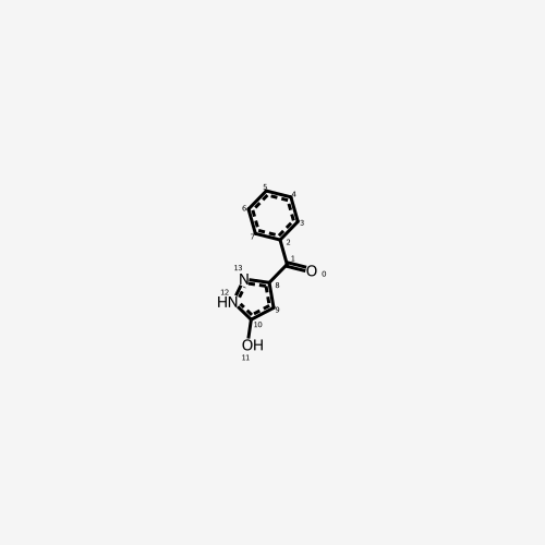 O=C(c1ccccc1)c1cc(O)[nH]n1